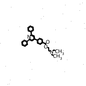 CCN(CC)CCOC(=O)c1ccc(-c2cc(-c3ccccc3)nc(-c3ccccc3)c2)cc1